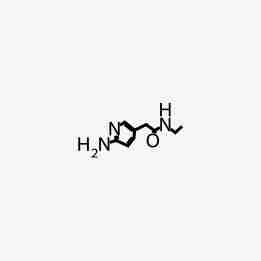 CCNC(=O)Cc1ccc(N)nc1